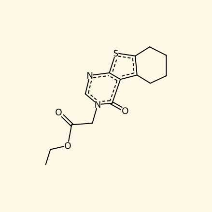 CCOC(=O)Cn1cnc2sc3c(c2c1=O)CCCC3